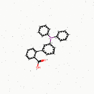 O=C(O)c1ccccc1-c1cccc(P(c2ccccc2)c2ccccc2)c1